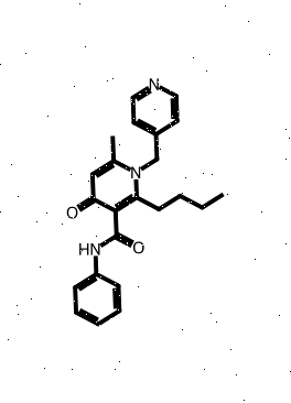 CCCCc1c(C(=O)Nc2ccccc2)c(=O)cc(C)n1Cc1ccncc1